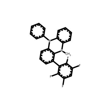 CN1c2ccccc2B(c2ccccc2)c2cccc(-c3c(F)c(F)cc(F)c3F)c21